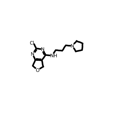 Clc1nc2c(c(NCCCN3CCCC3)n1)COC2